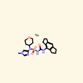 Cn1cnc(N(C2CCOCC2)S(=O)(=O)NC(=O)Nc2c3c(cc4c2CCC4)CCC3)c1.[Na]